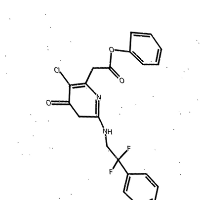 O=C(CC1=C(Cl)C(=O)CC(NCC(F)(F)c2ccccc2)=N1)Oc1ccccc1